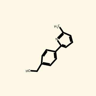 Cc1cccc(-c2ccc(CO)cc2)n1